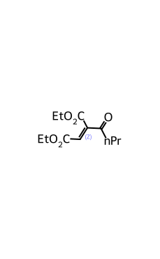 CCCC(=O)/C(=C/C(=O)OCC)C(=O)OCC